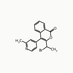 Cc1cc(-c2c(C(C)Br)oc(=O)c3ccccc23)ccn1